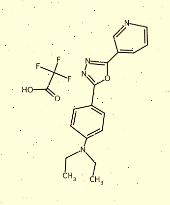 CCN(CC)c1ccc(-c2nnc(-c3cccnc3)o2)cc1.O=C(O)C(F)(F)F